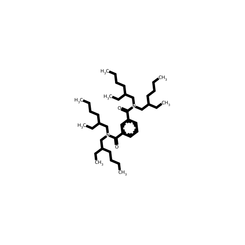 CCCCC(CC)CN(CC(CC)CCCC)C(=O)c1cccc(C(=O)N(CC(CC)CCCC)CC(CC)CCCC)c1